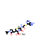 O=C(CSc1ncnc2[nH]ncc12)N[C@@H]1C(=O)N2C(C(=O)[O-])=C(/C=C3\CCN(C4CC4)C3=O)CS[C@H]12.[Na+]